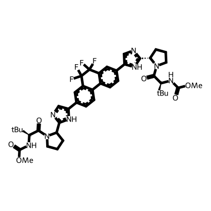 COC(=O)N[C@H](C(=O)N1CCCC1c1ncc(-c2ccc3c(c2)C(F)(F)C(F)(F)c2cc(-c4cnc([C@@H]5CCCN5C(=O)[C@@H](NC(=O)OC)C(C)(C)C)[nH]4)ccc2-3)[nH]1)C(C)(C)C